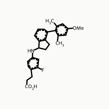 COc1cc(C)c(-c2cccc3c2CCC3Nc2ccc(CCC(=O)O)c(F)c2)c(C)c1